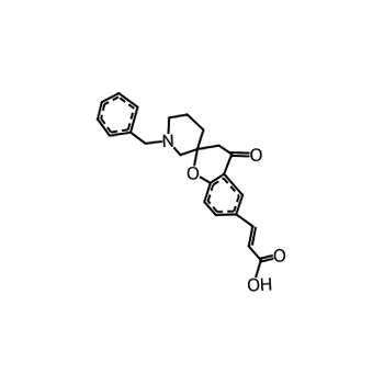 O=C(O)C=Cc1ccc2c(c1)C(=O)CC1(CCCN(Cc3ccccc3)C1)O2